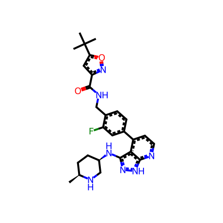 C[C@H]1CC[C@@H](Nc2n[nH]c3nccc(-c4ccc(CNC(=O)c5cc(C(C)(C)C)on5)c(F)c4)c23)CN1